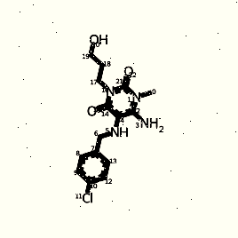 Cn1c(N)c(NCc2ccc(Cl)cc2)c(=O)n(CCCO)c1=O